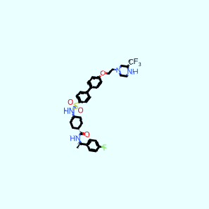 C[C@@H](NC(=O)[C@H]1CC[C@H](NS(=O)(=O)c2ccc(-c3ccc(OCCN4CCNC(C(F)(F)F)C4)cc3)cc2)CC1)c1ccc(F)cc1